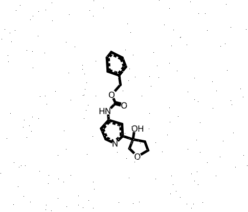 O=C(Nc1ccnc(C2(O)CCOC2)c1)OCc1ccccc1